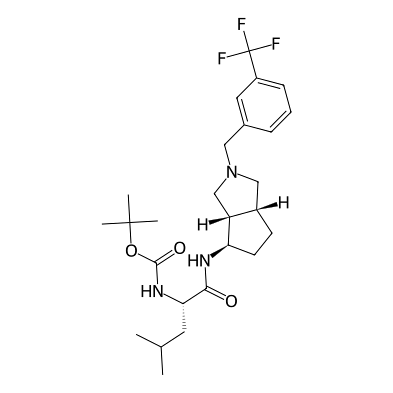 CC(C)C[C@H](NC(=O)OC(C)(C)C)C(=O)N[C@@H]1CC[C@H]2CN(Cc3cccc(C(F)(F)F)c3)C[C@H]21